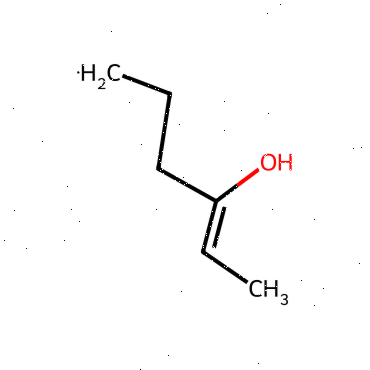 [CH2]CCC(O)=CC